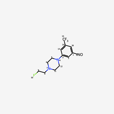 O=Nc1cc(N2CCN(CCF)CC2)cc(C(F)(F)F)c1